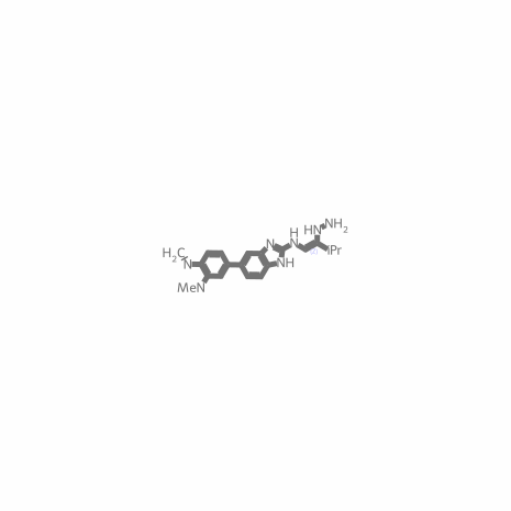 C=Nc1ccc(-c2ccc3[nH]c(N/C=C(\NN)C(C)C)nc3c2)cc1NC